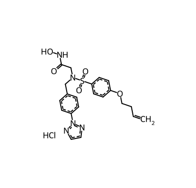 C=CCCOc1ccc(S(=O)(=O)N(CC(=O)NO)Cc2ccc(-n3nccn3)cc2)cc1.Cl